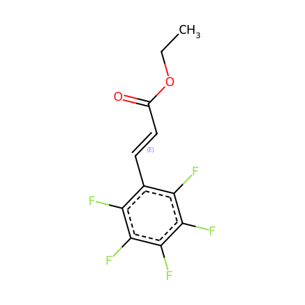 CCOC(=O)/C=C/c1c(F)c(F)c(F)c(F)c1F